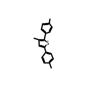 Cc1ccc(-c2cc(C)c(-c3ccc(C)cc3)s2)cc1